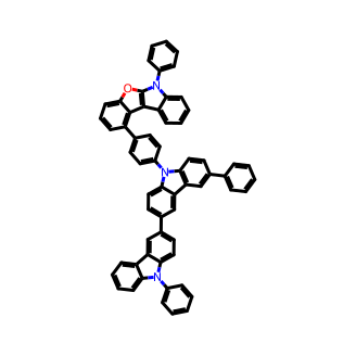 c1ccc(-c2ccc3c(c2)c2cc(-c4ccc5c(c4)c4ccccc4n5-c4ccccc4)ccc2n3-c2ccc(-c3cccc4oc5c(c6ccccc6n5-c5ccccc5)c34)cc2)cc1